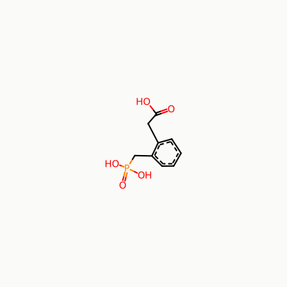 O=C(O)Cc1ccccc1CP(=O)(O)O